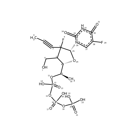 CC#CC1(F)C(CO)[C@@H]([C@@H](C)OP(=O)(O)OP(=O)(O)OP(=O)(O)O)O[C@H]1n1cc(F)c(=O)[nH]c1=O